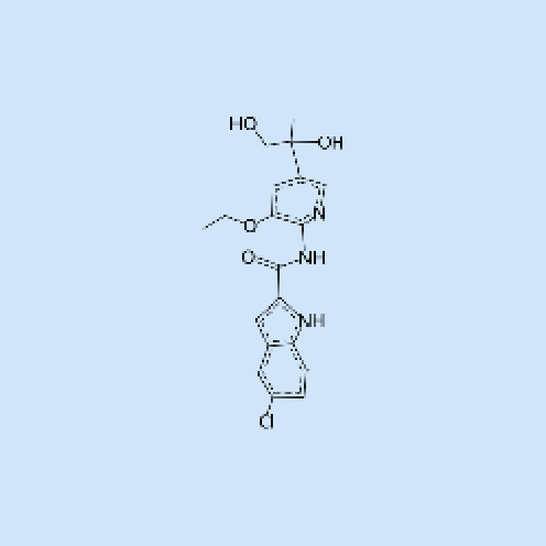 CCOc1cc(C(C)(O)CO)cnc1NC(=O)c1cc2cc(Cl)ccc2[nH]1